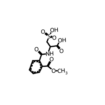 COC(=O)c1ccccc1C(=O)NC(CS(=O)(=O)O)C(=O)O